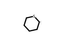 [C]1CCCCS1